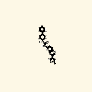 Cn1cc(-c2cnc3ccc(NC(=O)NC4CCC(c5ccccc5)CC4)nc3n2)cn1